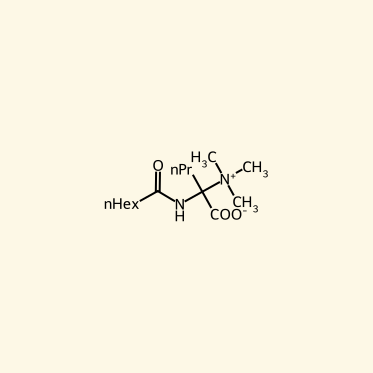 CCCCCCC(=O)NC(CCC)(C(=O)[O-])[N+](C)(C)C